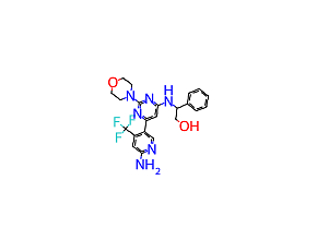 Nc1cc(C(F)(F)F)c(-c2cc(NC(CO)c3ccccc3)nc(N3CCOCC3)n2)cn1